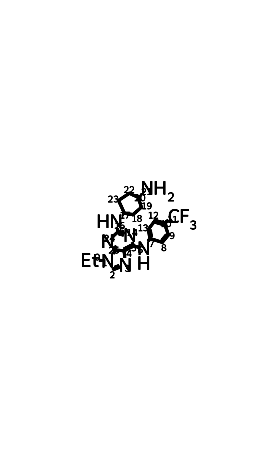 CCn1cnc2c(Nc3ccc(C(F)(F)F)cc3)nc(N[C@H]3CC[C@@H](N)CC3)nc21